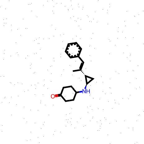 C/C(=C\c1ccccc1)[C@@H]1C[C@H]1NC1CCC(=O)CC1